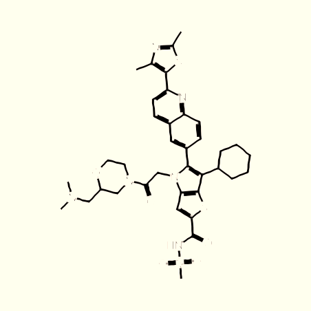 Cc1nc(C)c(-c2ccc3cc(-c4c(C5CCCCC5)c5sc(C(=O)NS(C)(=O)=O)cc5n4CC(=O)N4CCOC(CN(C)C)C4)ccc3n2)s1